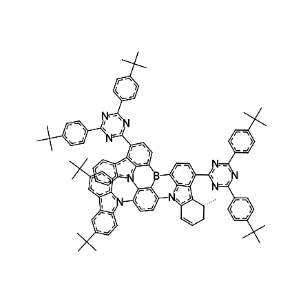 C[C@@H]1CC=Cc2c1c1c(-c3nc(-c4ccc(C(C)(C)C)cc4)nc(-c4ccc(C(C)(C)C)cc4)n3)ccc3c1n2-c1ccc(-n2c4ccc(C(C)(C)C)cc4c4cc(C(C)(C)C)ccc42)c2c1B3c1ccc(-c3nc(-c4ccc(C(C)(C)C)cc4)nc(-c4ccc(C(C)(C)C)cc4)n3)c3c4ccccc4n-2c13